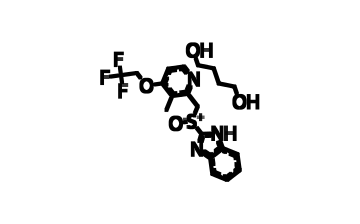 Cc1c(OCC(F)(F)F)ccnc1C[S+]([O-])c1nc2ccccc2[nH]1.OCCCCO